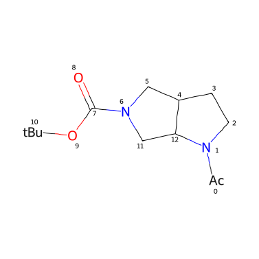 CC(=O)N1CCC2CN(C(=O)OC(C)(C)C)CC21